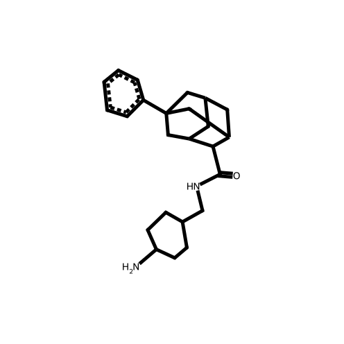 NC1CCC(CNC(=O)C2C3CC4CC2CC(c2ccccc2)(C4)C3)CC1